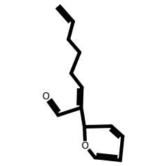 C=CCCCC=C(C=O)C1C=CC=CO1